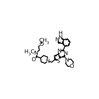 COCCN(C)C(=O)C1CCN(Cc2cc3nc(-c4cccc5[nH]ncc45)nc(N4CCOCC4)c3s2)CC1